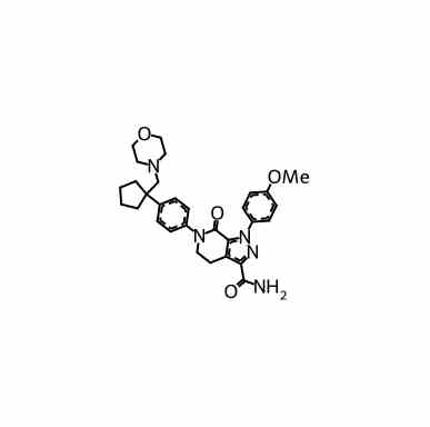 COc1ccc(-n2nc(C(N)=O)c3c2C(=O)N(c2ccc(C4(CN5CCOCC5)CCCC4)cc2)CC3)cc1